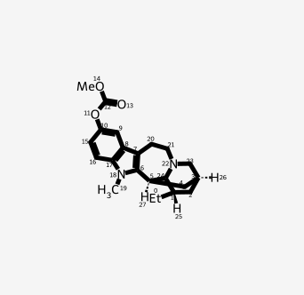 CC[C@H]1C[C@H]2C[C@H]3c4c(c5cc(OC(=O)OC)ccc5n4C)CCN(C2)C13